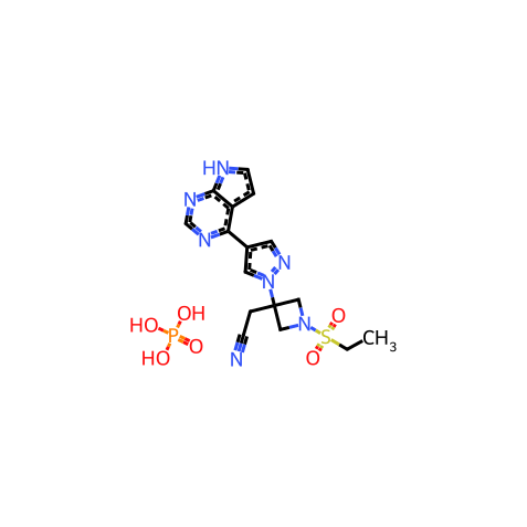 CCS(=O)(=O)N1CC(CC#N)(n2cc(-c3ncnc4[nH]ccc34)cn2)C1.O=P(O)(O)O